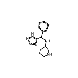 c1ccc(C(NC2CCCNC2)c2nnn[nH]2)cc1